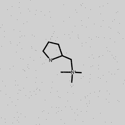 C[N+](C)(C)CC1CCC[N]1